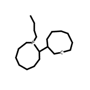 CCCCP1CCCCCCCC1C1CCCCCCCC1